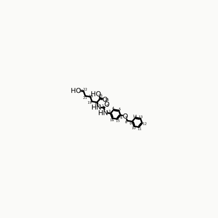 O=C(Nc1ccc(OCc2ccccc2)cc1)NC(CCCCO)C(=O)O